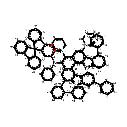 C1=CCN(c2c(N(c3ccccc3)c3ccc4c(c3)C3(c5ccccc5-c5ccccc53)c3ccccc3-4)c3cc(-c4ccccc4-c4ccccc4)c4oc5cc(-c6ccccc6)ccc5c4c3c3c2cc(N2C=NC=NC2)c2c3oc3cccc(-c4ccccc4)c32)C=C1